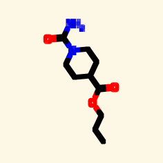 CCCOC(=O)C1CCN(C(N)=O)CC1